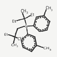 CCC(C)(C)C[Si](c1cccc(C)c1)(c1cccc(C)c1)C(C)(CC)CC